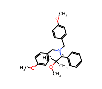 COc1ccc(CN(Cc2ccc(OC)cc2)[C@@H](c2ccccc2)C(C)(C)OC)cc1